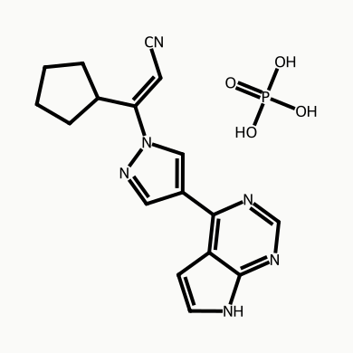 N#CC=C(C1CCCC1)n1cc(-c2ncnc3[nH]ccc23)cn1.O=P(O)(O)O